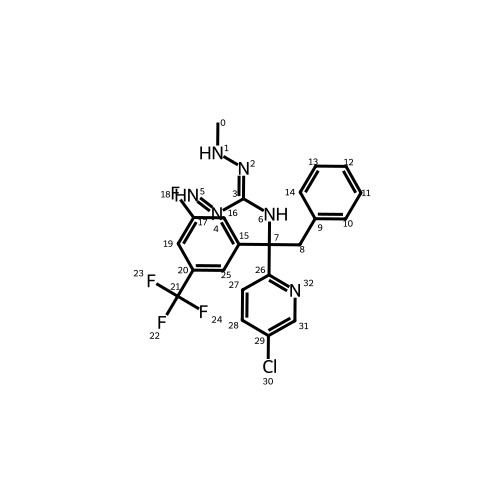 CN/N=C(\N=N)NC(Cc1ccccc1)(c1cc(F)cc(C(F)(F)F)c1)c1ccc(Cl)cn1